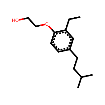 CCc1cc(CCC(C)C)ccc1OCCO